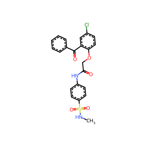 CNS(=O)(=O)c1ccc(NC(=O)COc2ccc(Cl)cc2C(=O)c2ccccc2)cc1